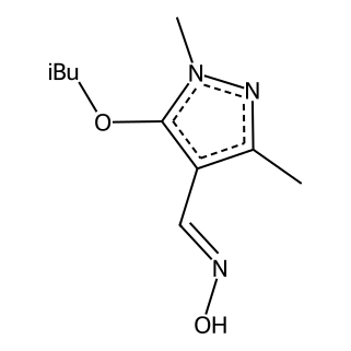 CCC(C)Oc1c(C=NO)c(C)nn1C